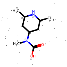 CC1CC(N(C)C(=O)O)CC(C)N1